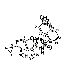 COc1ccc(C2CC2)c(C)c1C1(C(=O)NS(=O)(=O)c2cccc3nc(C)ccc23)CC1